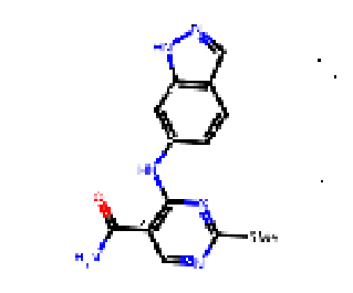 CSc1ncc(C(N)=O)c(Nc2ccc3cn[nH]c3c2)n1